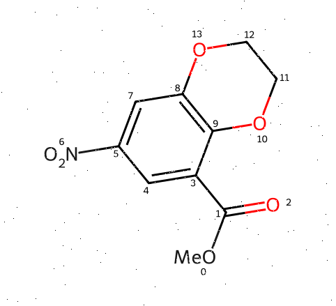 COC(=O)c1cc([N+](=O)[O-])cc2c1OCCO2